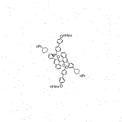 CCCCCCOc1ccc(-c2ccc(C(=O)Oc3c(-c4ccc([C@H]5CC[C@H](CCC)CC5)cc4)cc4ccccc4c3-c3c(OC(=O)c4ccc(-c5ccc(OCCCCCC)cc5)cc4)c(-c4ccc([C@H]5CC[C@H](CCC)CC5)cc4)cc4ccccc34)cc2)cc1